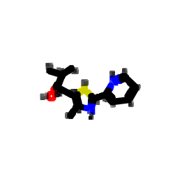 Cc1nc(-c2ccccn2)sc1C(=O)C(C)C